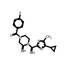 Cc1sc(C(=N)N2CCN(C(=O)c3ccc(F)cc3)CC2=N)nc1C1CC1